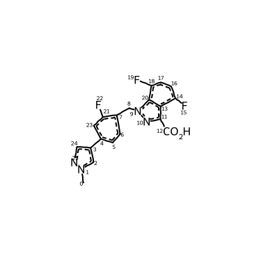 Cn1cc(-c2ccc(Cn3nc(C(=O)O)c4c(F)ccc(F)c43)c(F)c2)cn1